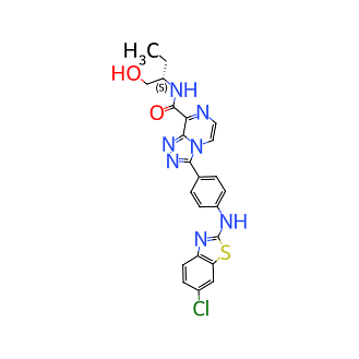 CC[C@@H](CO)NC(=O)c1nccn2c(-c3ccc(Nc4nc5ccc(Cl)cc5s4)cc3)nnc12